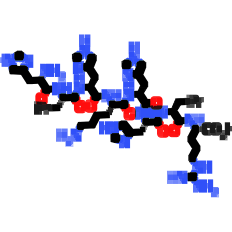 CC(C)C[C@H](NC(=O)[C@H](Cc1c[nH]cn1)NC(=O)[C@H](Cc1c[nH]cn1)NC(=O)[C@H](CCCCN)NC(=O)[C@H](Cc1c[nH]cn1)NC(=O)[C@H](CC(C)C)NC(=O)[C@@H](N)Cc1c[nH]cn1)C(=O)N[C@@H](CCCNC(=N)N)C(=O)O